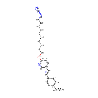 CNc1ccc(/C=C/c2ccc(OCCCCCCCCCCN=[N+]=[N-])nc2)cc1